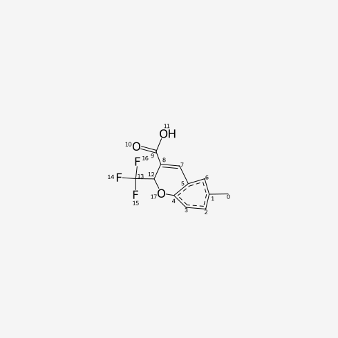 Cc1ccc2c(c1)C=C(C(=O)O)C(C(F)(F)F)O2